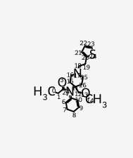 CCC(=O)N(C1=CCCC=C1)C1(COC)CCN(CCc2cccs2)CC1